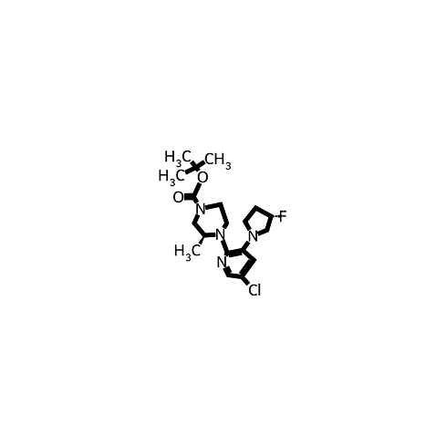 C[C@H]1CN(C(=O)OC(C)(C)C)CCN1c1ncc(Cl)cc1N1CC[C@H](F)C1